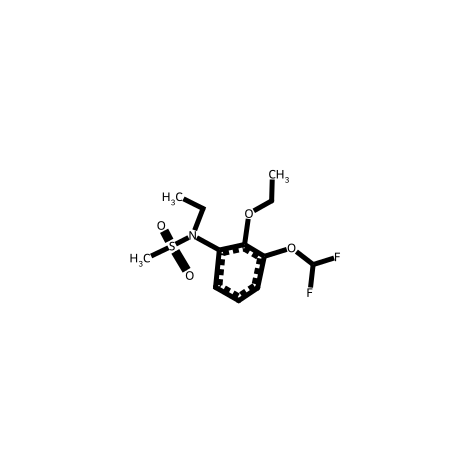 CCOc1c(OC(F)F)cccc1N(CC)S(C)(=O)=O